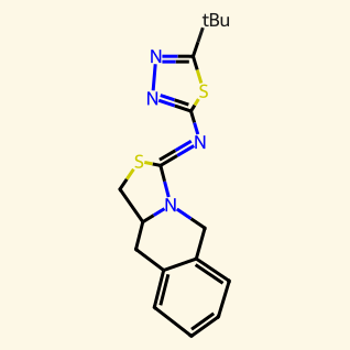 CC(C)(C)c1nnc(N=C2SCC3Cc4ccccc4CN23)s1